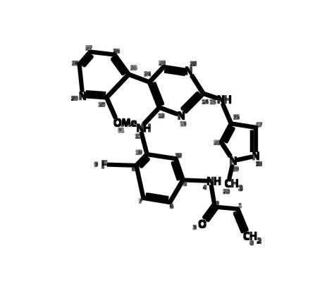 C=CC(=O)Nc1ccc(F)c(Nc2nc(Nc3cnn(C)c3)ncc2-c2cccnc2OC)c1